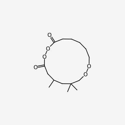 CC1CC(=O)OOC(=O)CCCCCOOCC(C)(C)C1